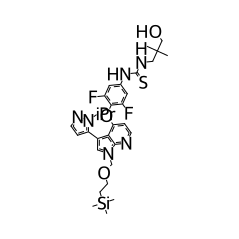 CC(C)n1nccc1-c1cn(COCC[Si](C)(C)C)c2nccc(Oc3c(F)cc(NC(=S)NCC(C)(C)CO)cc3F)c12